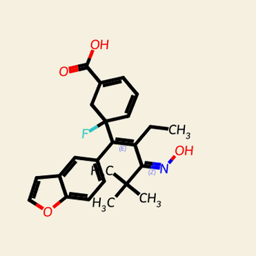 CCC(/C(=N\O)C(C)(C)C)=C(/c1ccc2occc2c1)C1(F)C=CC=C(C(=O)O)C1